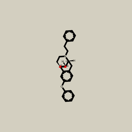 c1ccc(CCN2CC[C@]34CCCC[C@H]3[C@H]2Cc2ccc(Oc3ccccc3)cc24)cc1